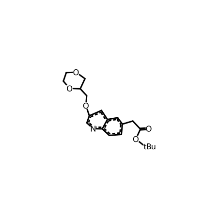 CC(C)(C)OC(=O)Cc1ccc2ncc(OCC3COCCO3)cc2c1